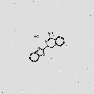 Cl.NC1=NC(c2nc3ccccc3s2)Cc2ccccc21